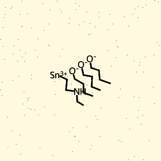 CCCC[O-].CCCC[O-].CCCC[O-].CCNC[CH2][Sn+3]